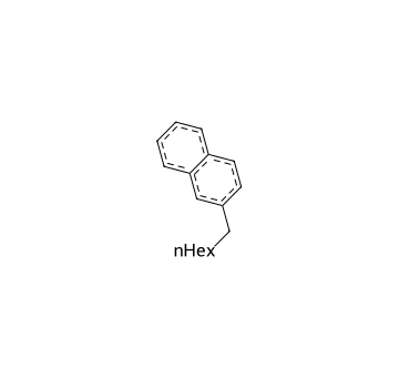 CCCCCCCc1ccc2ccccc2c1